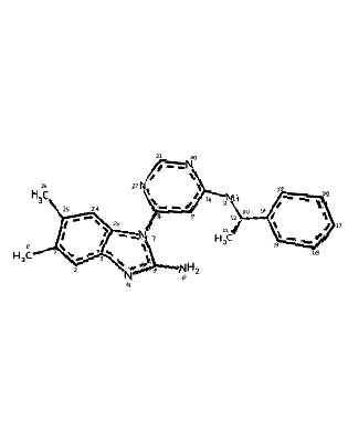 Cc1cc2nc(N)n(-c3cc(N[C@H](C)c4ccccc4)ncn3)c2cc1C